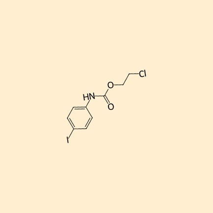 O=C(Nc1ccc(I)cc1)OCCCl